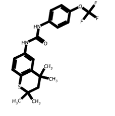 CC1(C)CC(C)(C)c2cc(NC(=O)Nc3ccc(OC(F)(F)F)cc3)ccc2S1